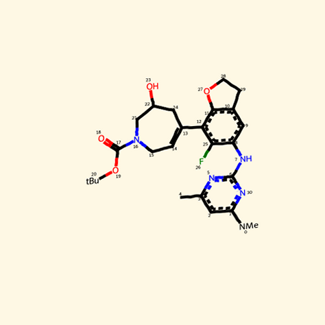 CNc1cc(C)nc(Nc2cc3c(c(C4=CCN(C(=O)OC(C)(C)C)CC(O)C4)c2F)OCC3)n1